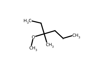 C[CH]CC(C)(CC)OC